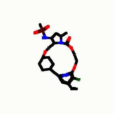 COc1cc2nc(c1F)OCCOC(=O)N1C(C)C[C@H](NS(C)(=O)=O)C1COC1CCC2CC1